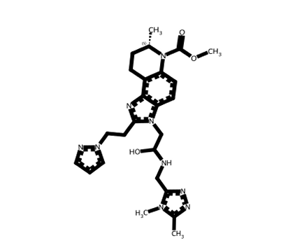 COC(=O)N1c2ccc3c(nc(CCn4cccn4)n3CC(O)NCc3nnc(C)n3C)c2CC[C@@H]1C